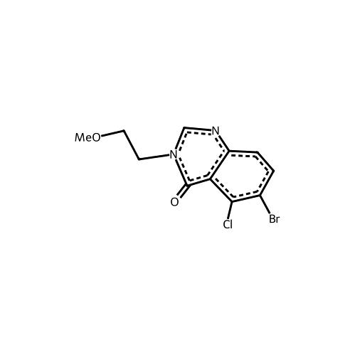 COCCn1cnc2ccc(Br)c(Cl)c2c1=O